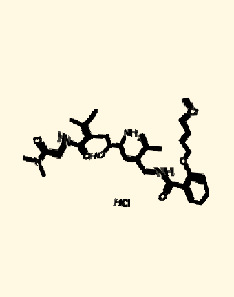 COCCCCOc1ccccc1C(=O)NCC(CC(N)C(O)CC(C(=O)NCC(=O)N(C)C)C(C)C)C(C)C.Cl